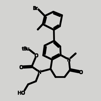 Cc1c(Br)cccc1-c1ccc2c(c1)N(C)C(=O)CCC2N(CCO)C(=O)OC(C)(C)C